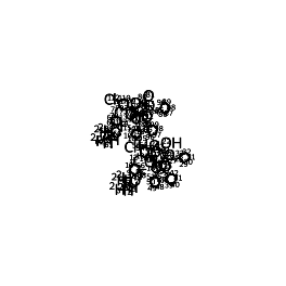 [2H]C([2H])([2H])C([2H])([2H])Oc1ccc(Cc2cc([C@]3(OC)OC(CO)(CO)[C@@H](OCc4ccccc4)[C@H](OCc4ccccc4)[C@H]3OCc3ccccc3)ccc2Cl)cc1F.[2H]C([2H])([2H])C([2H])([2H])Oc1ccc(Cc2cc([C@]3(OC)O[C@H](C=O)[C@@H](OCc4ccccc4)[C@H](OCc4ccccc4)[C@H]3OCc3ccccc3)ccc2Cl)cc1F